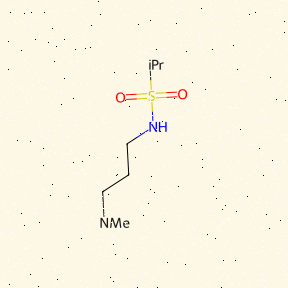 CNCCCNS(=O)(=O)C(C)C